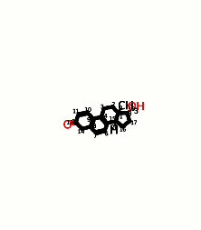 C[C@]12CCc3c(ccc4c3C=CC(=O)C4)[C@@H]1CC[C@H]2O